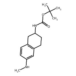 CNc1ccc2c(c1)CCC(NC(=O)OC(C)(C)C)C2